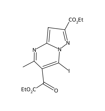 CCOC(=O)C(=O)c1c(C)nc2cc(C(=O)OCC)nn2c1I